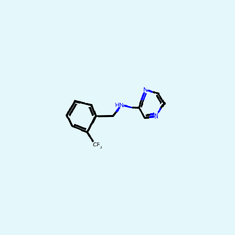 FC(F)(F)c1ccccc1CNc1cnccn1